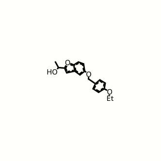 CCOc1ccc(COc2ccc3oc(C(C)O)cc3c2)cc1